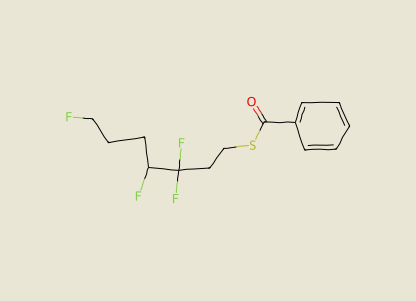 O=C(SCCC(F)(F)C(F)CCCF)c1ccccc1